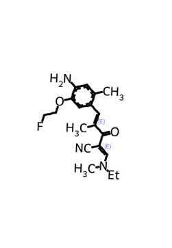 CCN(C)/C=C(\C#N)C(=O)/C(C)=C/c1cc(OCCF)c(N)cc1C